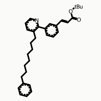 CC(C)(C)OC(=O)C=Cc1cccc(-c2ncccc2CCCCCCCCc2ccccc2)c1